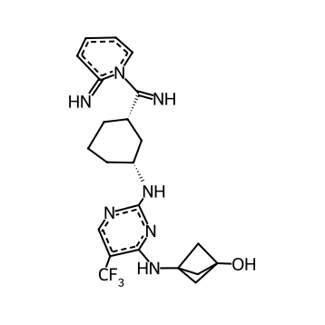 N=C([C@H]1CCC[C@@H](Nc2ncc(C(F)(F)F)c(NC34CC(O)(C3)C4)n2)C1)n1ccccc1=N